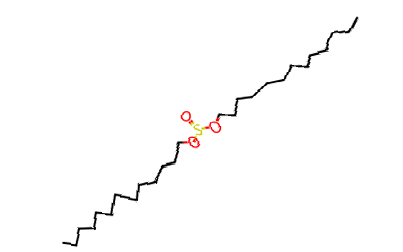 CCCCCCCCCCCCCOS(=O)OCCCCCCCCCCCCC